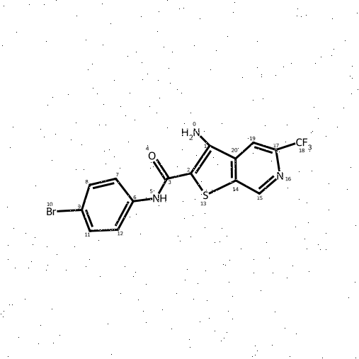 Nc1c(C(=O)Nc2ccc(Br)cc2)sc2cnc(C(F)(F)F)cc12